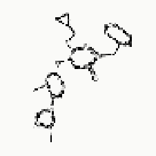 Cc1cn(-c2ccc(Nc3cc(=O)n(Cc4ccccc4)nc3OCC3CC3)cc2C)cn1